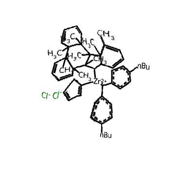 CCCCc1ccc([C](c2ccc(CCCC)cc2)=[Zr+2]([C]2=CC=CC2)[CH]2C3C=CC=C(C)C3(C)C3(C)C4(C)C=CC=CC4(C)C4(C)C=CC=CC4(C)C23C)cc1.[Cl-].[Cl-]